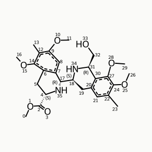 COC(=O)[C@@H]1Cc2c(cc(OC)c(C)c2OC)[C@H]([C@@H]2Cc3cc(C)c(OC)c(OC)c3[C@H](CO)N2)N1